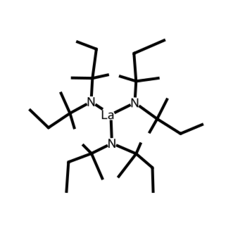 CCC(C)(C)[N]([La]([N](C(C)(C)CC)C(C)(C)CC)[N](C(C)(C)CC)C(C)(C)CC)C(C)(C)CC